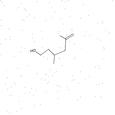 C=C(C)CC(C)CCO